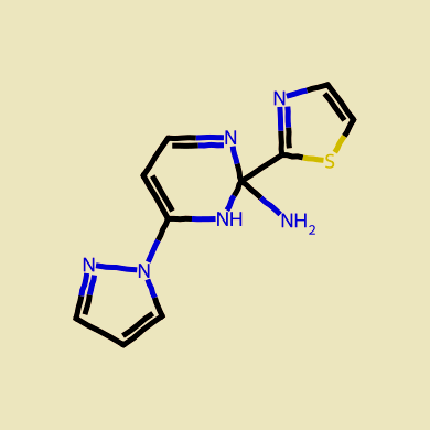 NC1(c2nccs2)N=CC=C(n2cccn2)N1